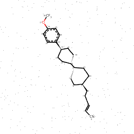 N#CC=CCC[C@H]1CC[C@H]([C@H]2CC[C@H](c3ccc(OC(F)(F)F)cc3)CC2)CC1